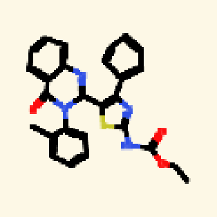 CCOC(=O)Nc1nc(-c2ccccc2)c(-c2nc3ccccc3c(=O)n2-c2ccccc2C)s1